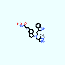 Cc1n[nH]cc1CN(CCc1c[nH]c2ccccc12)C1CCc2cc(/C=C/C(=O)NO)ccc21